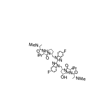 CN[C@H](C)C(=O)N[C@@H](C(=O)N1CCC[C@H]1Cn1c(-c2nc3cc(F)ccc3n2C[C@@H]2CC(O)CN2C(=O)[C@H](NC(=O)[C@@H](C)NC)C(C)C)nc2cc(F)ccc21)C(C)C